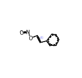 O=NO/C=C/c1ccccc1